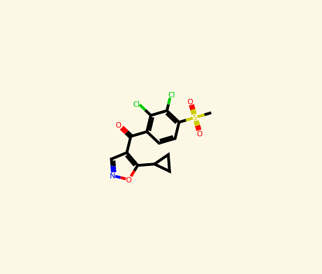 CS(=O)(=O)c1ccc(C(=O)c2cnoc2C2CC2)c(Cl)c1Cl